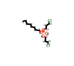 CCCCCCCCOP(=O)(OCCCCl)OCCCCl